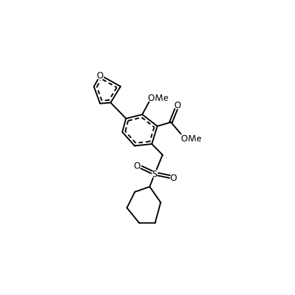 COC(=O)c1c(CS(=O)(=O)C2CCCCC2)ccc(-c2ccoc2)c1OC